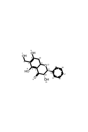 O=C1C2=C(O)C(CO)=C(O)CC2O[C@@H](c2ccccc2)[C@@H]1O